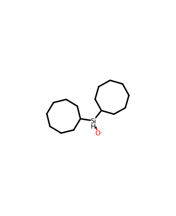 [O][SiH](C1CCCCCCC1)C1CCCCCCC1